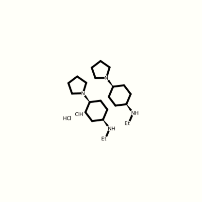 CCN[C@H]1CC[C@@H](N2CCCC2)CC1.CCN[C@H]1CC[C@@H](N2CCCC2)CC1.Cl.Cl